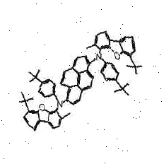 Cc1ccc2c(oc3c(C(C)(C)C)cccc32)c1N(c1ccc(C(C)(C)C)cc1)c1ccc2ccc3c(N(c4ccc(C(C)(C)C)cc4)c4c(C)ccc5c4oc4c(C(C)(C)C)cccc45)ccc4ccc1c2c43